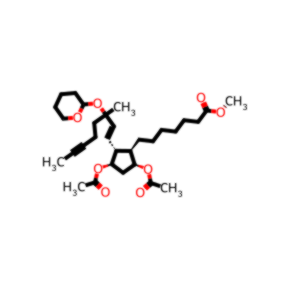 CC#CCCC(C)(C=C[C@@H]1[C@@H](CCCCCCC(=O)OC)[C@@H](OC(C)=O)C[C@H]1OC(C)=O)OC1CCCCO1